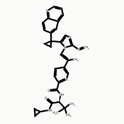 C=Nc1ncc(C2(c3ccc4ncccc4c3)CC2)n1/C=C(\C)c1ccc(C(=O)N[C@H](C(=O)NC2CC2)C(C)(C)C)nc1